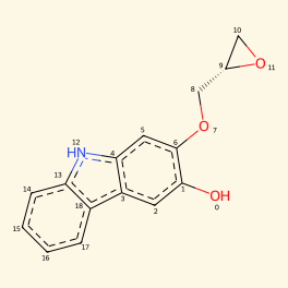 Oc1cc2c(cc1OC[C@@H]1CO1)[nH]c1ccccc12